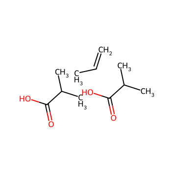 C=CC.CC(C)C(=O)O.CC(C)C(=O)O